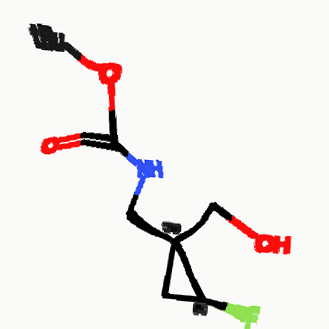 CC(C)(C)OC(=O)NC[C@]1(CO)C[C@@H]1F